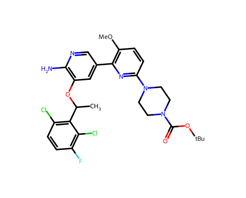 COc1ccc(N2CCN(C(=O)OC(C)(C)C)CC2)nc1-c1cnc(N)c(OC(C)c2c(Cl)ccc(F)c2Cl)c1